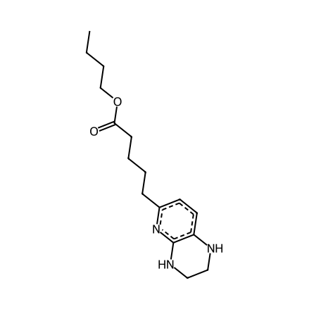 CCCCOC(=O)CCCCc1ccc2c(n1)NCCN2